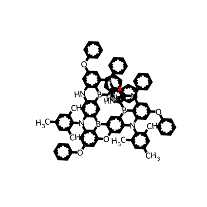 Cc1cc(C)c(N2c3cc4c(cc3B3c5cc6c(cc5Oc5cc(Oc7ccccc7)cc2c53)N(c2c(C)cc(C)cc2C)c2cc(Oc3ccccc3)cc3c2B6c2[nH]c5ccccc5c2N3c2ccccc2)B2c3[nH]c5ccccc5c3N(c3ccccc3)c3cc(Oc5ccccc5)cc(c32)N4)c(C)c1